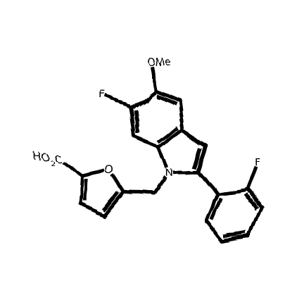 COc1cc2cc(-c3ccccc3F)n(Cc3ccc(C(=O)O)o3)c2cc1F